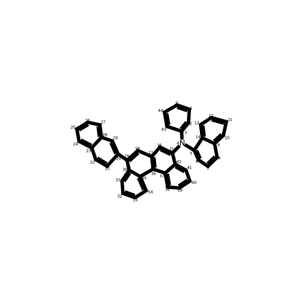 c1ccc(N(c2cccc3ccccc23)c2cc3cc(-c4ccc5ccccc5c4)c4ccccc4c3c3ccccc23)cc1